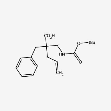 C=CCC(CNC(=O)OC(C)(C)C)(Cc1ccccc1)C(=O)O